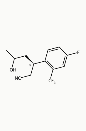 CC(O)C[C@H](CC#N)c1ccc(F)cc1C(F)(F)F